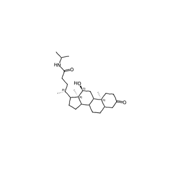 CC(C)NC(=O)CC[C@@H](C)C1CCC2C3CCC4CC(=O)CC[C@]4(C)C3C[C@H](O)[C@@]21C